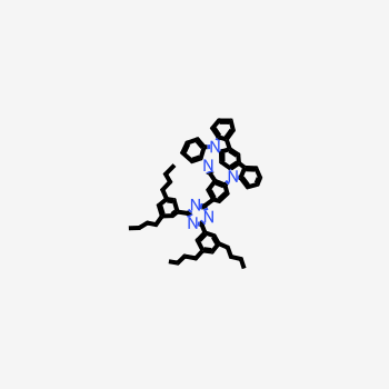 CCCCc1cc(CCCC)cc(-c2nc(-c3cc(CCCC)cc(CCCC)c3)nc(-c3ccc(-n4c5ccccc5c5cc6c7ccccc7n(-c7ccccc7)c6cc54)c(C#N)c3)n2)c1